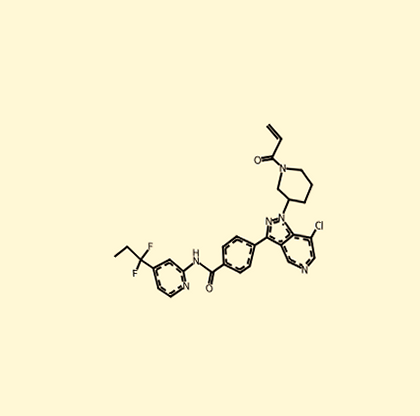 C=CC(=O)N1CCCC(n2nc(-c3ccc(C(=O)Nc4cc(C(F)(F)CC)ccn4)cc3)c3cncc(Cl)c32)C1